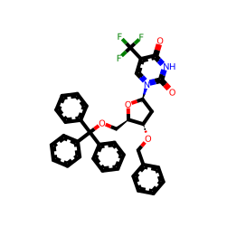 O=c1[nH]c(=O)n([C@H]2C[C@H](OCc3ccccc3)[C@@H](COC(c3ccccc3)(c3ccccc3)c3ccccc3)O2)cc1C(F)(F)F